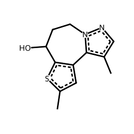 Cc1cc2c(s1)C(O)CCn1ncc(C)c1-2